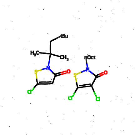 CC(C)(C)CC(C)(C)n1sc(Cl)cc1=O.CCCCCCCCn1sc(Cl)c(Cl)c1=O